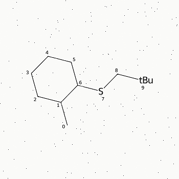 CC1CCCCC1SCC(C)(C)C